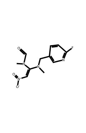 CN(C=O)C(=C[N+](=O)[O-])N(C)Cc1ccc(F)nc1